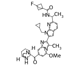 COc1cc(C(=O)N2C[C@@H]3CC[C@H]2CN3)cc2nc(-c3cc4ccc(C(C)NC(=O)C56CC(F)(C5)C6)nc4n3CC3CC3)c(C)n12